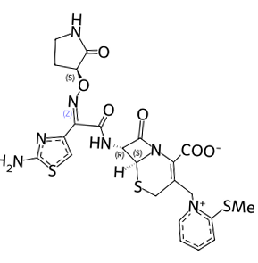 CSc1cccc[n+]1CC1=C(C(=O)[O-])N2C(=O)[C@@H](NC(=O)/C(=N\O[C@H]3CCNC3=O)c3csc(N)n3)[C@@H]2SC1